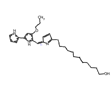 CCCOc1cc(-c2ccc[nH]2)[nH]c1/C=C1\C=CC(CCCCCCCCCCCCO)=N1